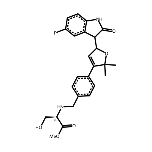 COC(=O)[C@@H](CO)NCc1ccc(C2=CC(C3C(=O)Nc4ccc(F)cc43)OC2(C)C)cc1